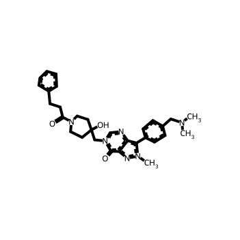 CN(C)Cc1ccc(-c2c3ncn(CC4(O)CCN(C(=O)CCc5ccccc5)CC4)c(=O)c3nn2C)cc1